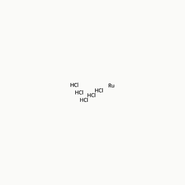 Cl.Cl.Cl.Cl.Cl.[Ru]